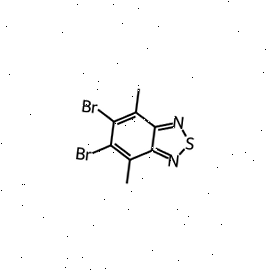 Cc1c(Br)c(Br)c(C)c2nsnc12